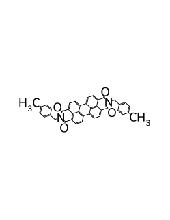 Cc1ccc(CN2C(=O)c3ccc4c5ccc6c7c(ccc(c8ccc(c3c48)C2=O)c75)C(=O)N(Cc2ccc(C)cc2)C6=O)cc1